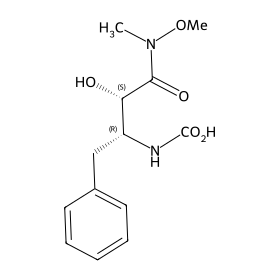 CON(C)C(=O)[C@@H](O)[C@@H](Cc1ccccc1)NC(=O)O